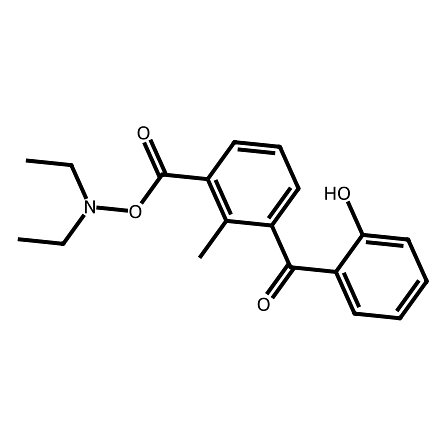 CCN(CC)OC(=O)c1cccc(C(=O)c2ccccc2O)c1C